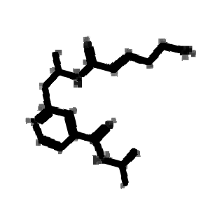 CC(C)NC(=O)c1ccnc(CC(C)NC(=O)CCCCN)c1